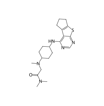 CN(C)C(=O)CN(C)C1CCC(Nc2ncnc3sc4c(c23)CCC4)CC1